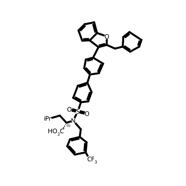 CC(C)C[C@@H](C(=O)O)N(Cc1cccc(C(F)(F)F)c1)S(=O)(=O)c1ccc(-c2ccc(-c3c(Cc4ccccc4)oc4ccccc34)cc2)cc1